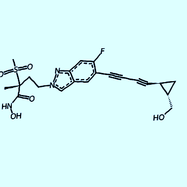 C[C@@](CCn1cc2cc(C#CC#C[C@H]3C[C@@H]3CO)c(F)cc2n1)(C(=O)NO)S(C)(=O)=O